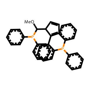 COC(C1C=CC=C1c1ccccc1P(c1ccccc1)c1ccccc1)P(c1ccccc1)c1ccccc1